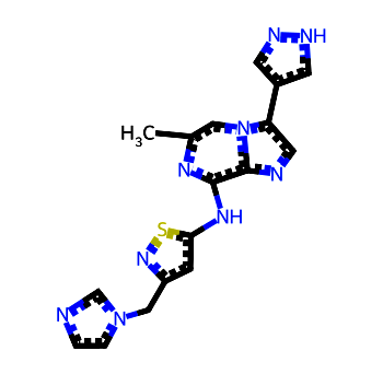 Cc1cn2c(-c3cn[nH]c3)cnc2c(Nc2cc(Cn3ccnc3)ns2)n1